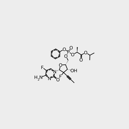 CC#CC1(F)[C@@H](O)[C@@H](CO[P@](=O)(Oc2ccccc2)O[C@@H](C)C(=O)OC(C)C)O[C@H]1n1cc(F)c(N)nc1=O